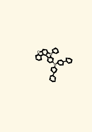 c1ccc(-c2ccc(N(c3ccc(-c4ccccc4)cc3)c3ccc4c5c6c(ccc5n(-c5ccccc5)c4c3)oc3ccccc36)cc2)cc1